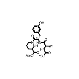 COC(=O)C1CCCN(C(=O)[C@H](Cc2cccc(O)c2)NC(=O)C(NC(=O)C(C)(C)C)C(C)C)N1